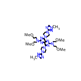 COCCN(CCOC)c1nc(N2CCN(c3ncn(C)n3)CC2)c2nc(N(CCOC)CCOC)nc(N3CCN(c4ncn(C)n4)CC3)c2n1